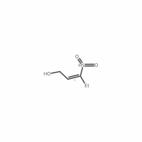 CC/C(=C/CO)[SH](=O)=O